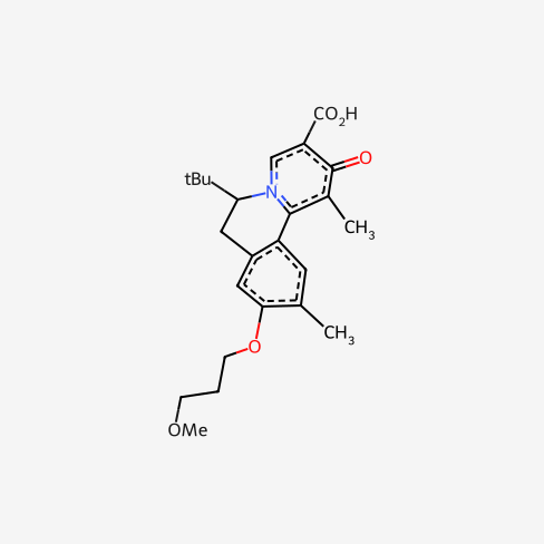 COCCCOc1cc2c(cc1C)-c1c(C)c(=O)c(C(=O)O)cn1C(C(C)(C)C)C2